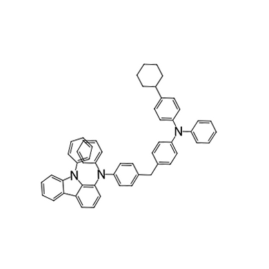 c1ccc(N(c2ccc(Cc3ccc(N(c4ccccc4)c4cccc5c6ccccc6n(-c6ccccc6)c45)cc3)cc2)c2ccc(C3CCCCC3)cc2)cc1